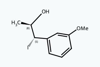 COc1cccc([C@H](I)[C@@H](C)O)c1